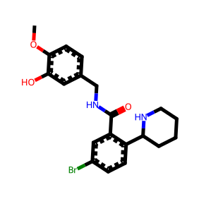 COc1ccc(CNC(=O)c2cc(Br)ccc2C2CCCCN2)cc1O